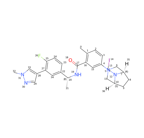 Cc1ccc(N2C[C@H]3CC[C@@H](C2)N3CI)cc1C(=O)N[C@H](C)c1ccc(F)c(-c2cnn(C)c2)c1